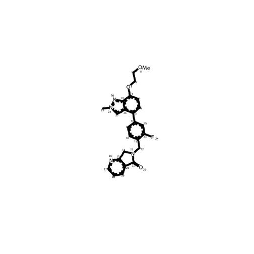 COCCOc1ccc(-c2ccc(CN3Cc4ncccc4C3=O)c(F)c2)c2cn(C)nc12